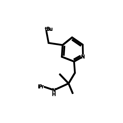 CC(C)NC(C)(C)Cc1cc(CC(C)(C)C)ccn1